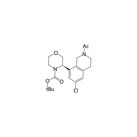 CC(=O)N1CCc2cc(Cl)cc([C@@H]3COCCN3C(=O)OC(C)(C)C)c2C1